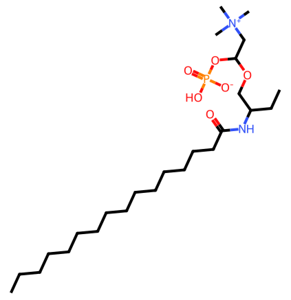 CCCCCCCCCCCCCCCC(=O)NC(CC)COC(C[N+](C)(C)C)OP(=O)([O-])O